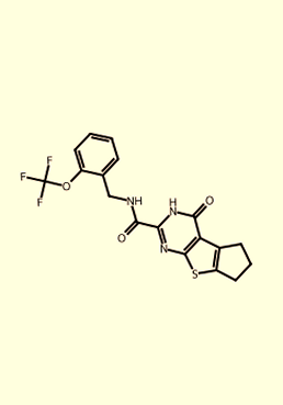 O=C(NCc1ccccc1OC(F)(F)F)c1nc2sc3c(c2c(=O)[nH]1)CCC3